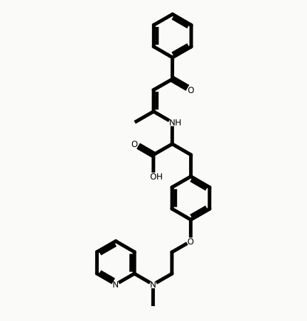 CC(=CC(=O)c1ccccc1)NC(Cc1ccc(OCCN(C)c2ccccn2)cc1)C(=O)O